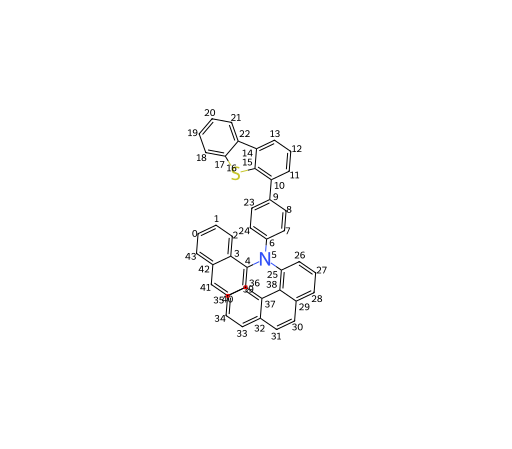 c1ccc2c(N(c3ccc(-c4cccc5c4sc4ccccc45)cc3)c3cccc4ccc5ccccc5c34)cccc2c1